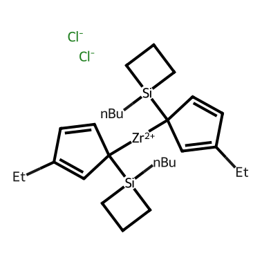 CCCC[Si]1([C]2([Zr+2][C]3([Si]4(CCCC)CCC4)C=CC(CC)=C3)C=CC(CC)=C2)CCC1.[Cl-].[Cl-]